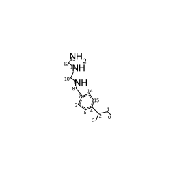 CCC(C)c1ccc(CNCNCN)cc1